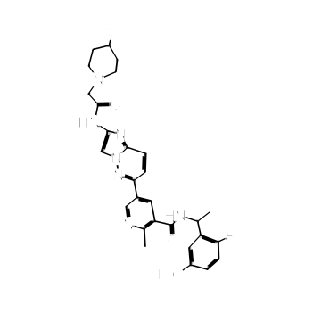 Cc1ncc(-c2ccc3nc(NC(=O)CN4CCC(C(F)(F)F)CC4)cn3n2)cc1C(=O)NC(C)c1cc(C(F)(F)F)ccc1F